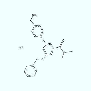 CN(C)C(=O)c1cc(OCc2ccccc2)cc(-c2ccc(CN)cc2)c1.Cl